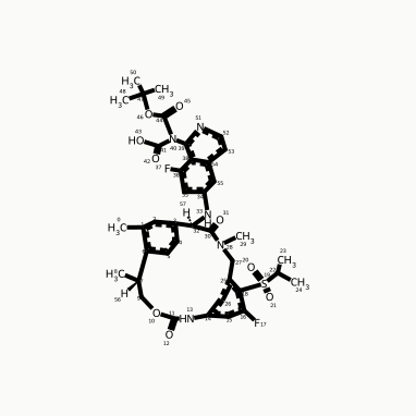 Cc1cc2ccc1[C@@H](C)COC(=O)Nc1cc(F)c(S(=O)(=O)C(C)C)c(c1)CN(C)C(=O)[C@@H]2Nc1cc(F)c2c(N(C(=O)O)C(=O)OC(C)(C)C)nccc2c1